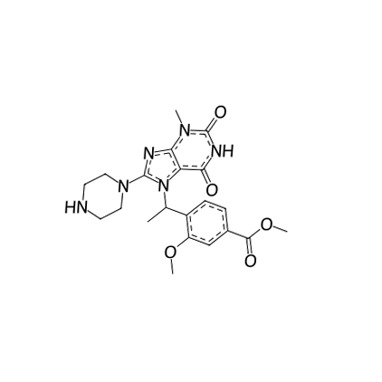 COC(=O)c1ccc(C(C)n2c(N3CCNCC3)nc3c2c(=O)[nH]c(=O)n3C)c(OC)c1